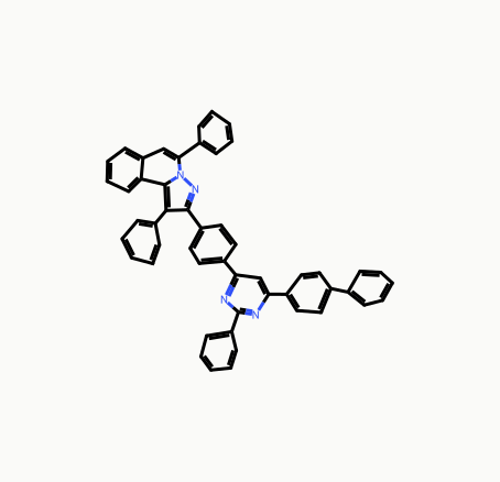 c1ccc(-c2ccc(-c3cc(-c4ccc(-c5nn6c(-c7ccccc7)cc7ccccc7c6c5-c5ccccc5)cc4)nc(-c4ccccc4)n3)cc2)cc1